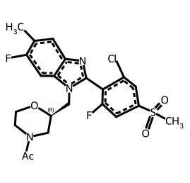 CC(=O)N1CCO[C@@H](Cn2c(-c3c(F)cc(S(C)(=O)=O)cc3Cl)nc3cc(C)c(F)cc32)C1